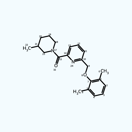 Cc1cccc(C)c1OCc1cccc(C(=O)N2CCCC(C)C2)n1